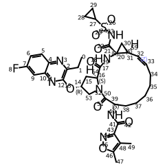 CCc1nc2ccc(F)cc2nc1O[C@@H]1C[C@H]2C(=O)N[C@]3(C(=O)NS(=O)(=O)C4CC4)C[C@H]3/C=C\CCCCC[C@H](NC(=O)c3noc(C)c3C)C(=O)N2C1